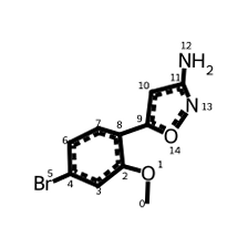 COc1cc(Br)ccc1-c1cc(N)no1